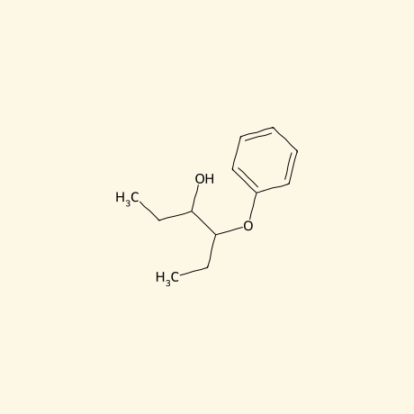 CCC(O)C(CC)Oc1ccccc1